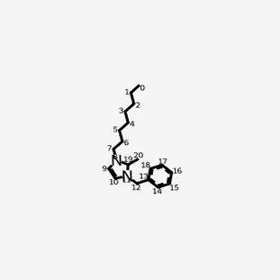 CCCCCCCCN1C=CN(Cc2ccccc2)C1C